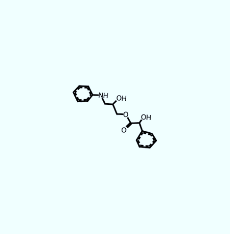 O=C(OCC(O)CNc1ccccc1)C(O)c1ccccc1